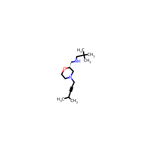 CC(C)C#CCN1CCO[C@H](CNCC(C)(C)C)C1